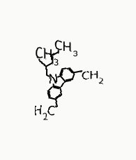 C=Cc1ccc2c(c1)c1cc(C=C)ccc1n2CC(CC)CCCC